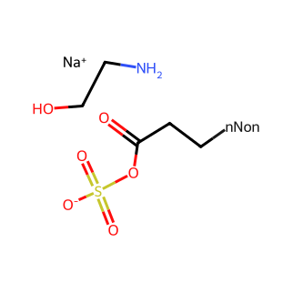 CCCCCCCCCCCC(=O)OS(=O)(=O)[O-].NCCO.[Na+]